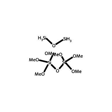 CO[Si](OC)(OC)O[Si](OC)(OC)OC.[SiH3]O[SiH3]